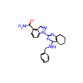 NC(=O)c1cccc2c1cnn2-c1nc2c(c(NCc3ccccc3)n1)CCCC2